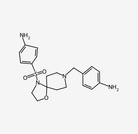 Nc1ccc(CN2CCC3(CC2)OCCN3S(=O)(=O)c2ccc(N)cc2)cc1